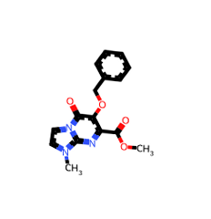 COC(=O)c1nc2n(C)ccn2c(=O)c1OCc1ccccc1